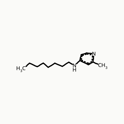 CCCCCCCCNc1ccnc(C)c1